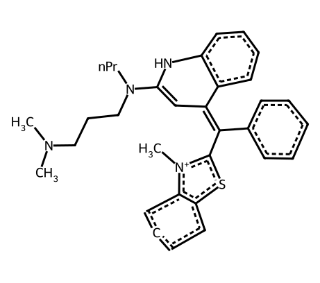 CCCN(CCCN(C)C)C1=CC(=C(c2ccccc2)c2sc3ccccc3[n+]2C)c2ccccc2N1